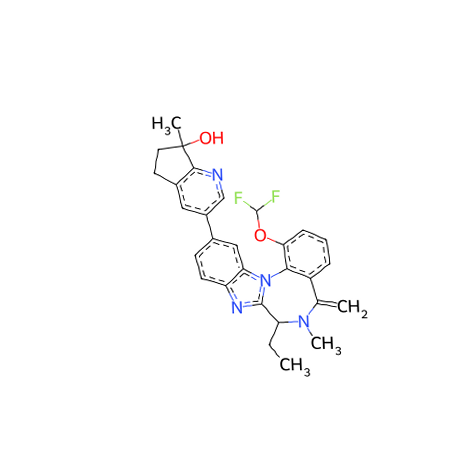 C=C1c2cccc(OC(F)F)c2-n2c(nc3ccc(-c4cnc5c(c4)CCC5(C)O)cc32)C(CC)N1C